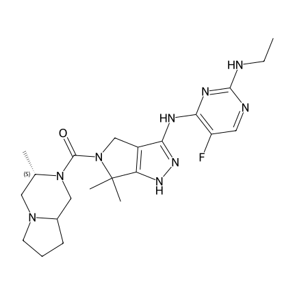 CCNc1ncc(F)c(Nc2n[nH]c3c2CN(C(=O)N2CC4CCCN4C[C@@H]2C)C3(C)C)n1